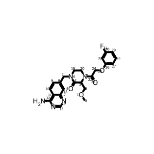 COCC1C(=O)N(Cc2ccc3c(N)ncnc3c2)CCN1C(=O)COc1cccc(F)c1